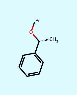 CC(C)O[C@H](C)c1ccccc1